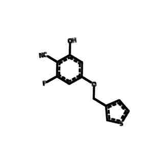 N#Cc1c(O)cc(OCc2ccsc2)cc1F